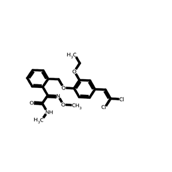 CCOc1cc(C=C(Cl)Cl)ccc1OCc1ccccc1C(=NOC)C(=O)NC